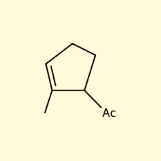 CC(=O)C1CCC=C1C